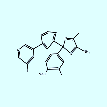 COc1ccc(C2(c3cccc(-c4cncc(F)c4)c3)N=C(C)C(N)=N2)cc1C